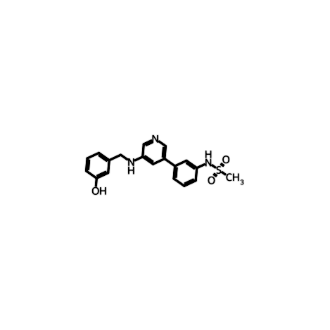 CS(=O)(=O)Nc1cccc(-c2cncc(NCc3cccc(O)c3)c2)c1